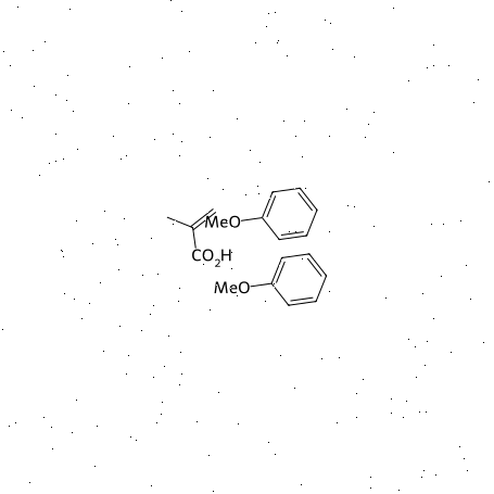 C=C(C)C(=O)O.COc1ccccc1.COc1ccccc1